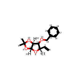 C=C[C@]1(CC)O[C@@H]2OC(C)(C)O[C@H]2C1OCc1ccccc1